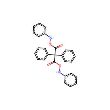 O=C(ONc1ccccc1)C(C(=O)ONc1ccccc1)(c1ccccc1)c1ccccc1